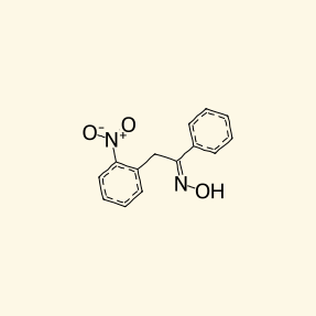 O=[N+]([O-])c1ccccc1CC(=NO)c1ccccc1